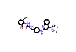 CC(C)c1cccc(C(C)C)c1NC(=O)NCC1CCC(Nc2cc(N(C)C)c3ccccc3n2)CC1